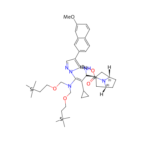 COc1ccc2ccc(-c3cnn4c3NC([C@@H]3C[C@H]5CC[C@@H](C3)N5C(=O)OC(C)(C)C)C(C3CC3)=C4N(COCC[Si](C)(C)C)COCC[Si](C)(C)C)cc2c1